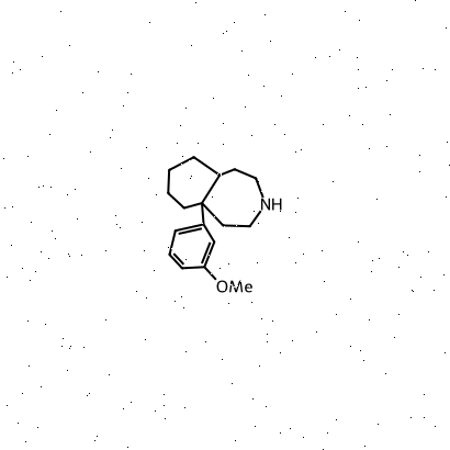 COc1cccc(C23CCCCC2CCNCC3)c1